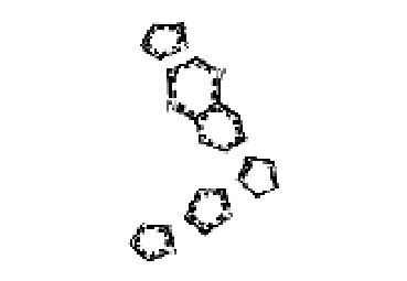 C1=CCC=C1.c1ccc2nccnc2c1.c1ccsc1.c1ccsc1.c1ccsc1